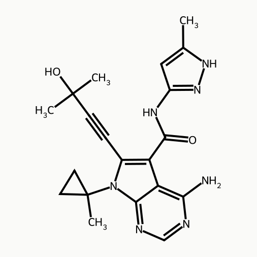 Cc1cc(NC(=O)c2c(C#CC(C)(C)O)n(C3(C)CC3)c3ncnc(N)c23)n[nH]1